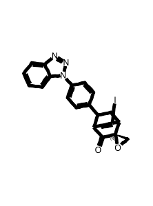 O=C1C2C=C(I)C(CC2c2ccc(-n3nnc4ccccc43)cc2)[C@@]12CO2